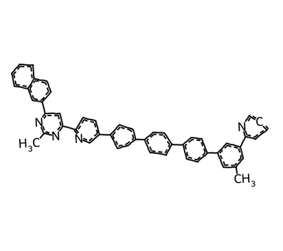 Cc1cc(-c2ccc(-c3ccc(-c4ccc(-c5ccc(-c6cc(-c7ccc8ccccc8c7)nc(C)n6)nc5)cc4)cc3)cc2)cc(-c2ccccn2)c1